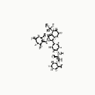 O=C(Nc1ccc(-c2c3cccc(C(F)(F)F)c3nn2Cc2c(F)cc(F)cc2F)cc1)Nc1ccccc1F